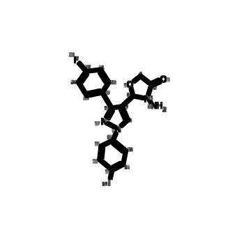 NN1C(=O)COC1c1cn(-c2ccc(I)cc2)nc1-c1ccc(F)cc1